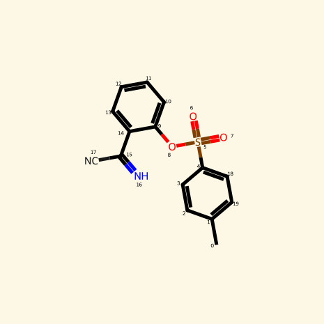 Cc1ccc(S(=O)(=O)Oc2ccccc2C(=N)C#N)cc1